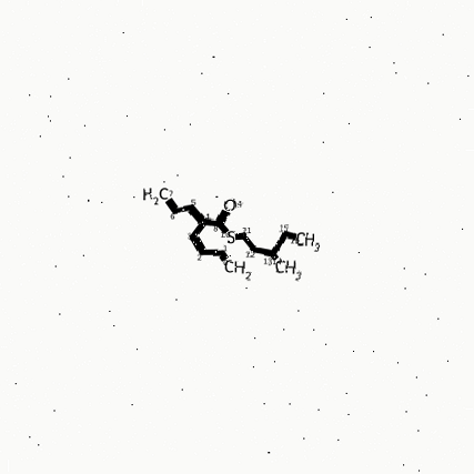 C=C/C=C\C(=C/C=C)C(=O)SCCC(C)CC